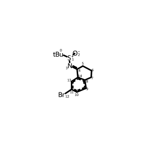 CC(C)(C)[S+]([O-])N=C1CCCc2ccc(Br)cc21